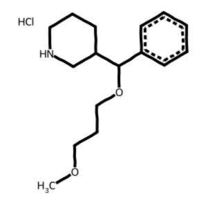 COCCCOC(c1ccccc1)C1CCCNC1.Cl